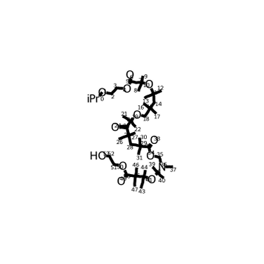 CC(C)OCCOC(=O)C(C)(C)OC(C)(C)CC(C)(C)COC(C)(C)C(=O)C(C)(C)CC(C)(C)C(=O)OCN(C)C(C)(C)OC(C)(C)C(C)(C)C(=O)OCCO